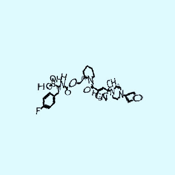 CC(C)(C=C(C#N)C(=O)N1CCCC[C@@H]1COC(=O)N[C@@H](Cc1ccc(F)cc1)B(O)O)N1CCN(C2COC2)CC1